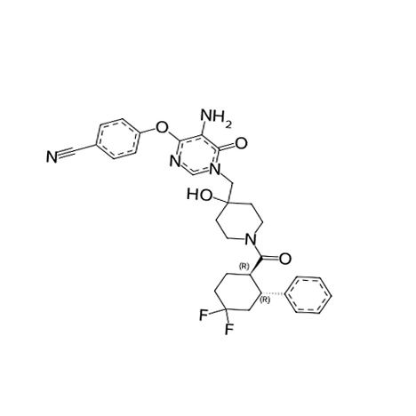 N#Cc1ccc(Oc2ncn(CC3(O)CCN(C(=O)[C@@H]4CCC(F)(F)C[C@H]4c4ccccc4)CC3)c(=O)c2N)cc1